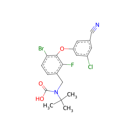 CC(C)(C)N(Cc1ccc(Br)c(Oc2cc(Cl)cc(C#N)c2)c1F)C(=O)O